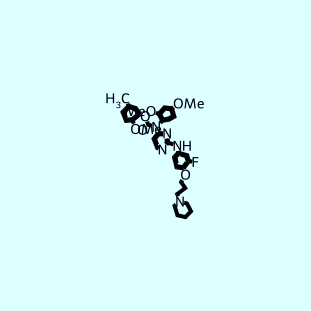 COc1ccc(N(C(=O)Oc2cc(C)ccc2OC)c2ccnc(Nc3ccc(OCCCN4CCCCC4)c(F)c3)n2)c(OC)c1